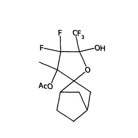 CC(=O)OC1(C)C2(CC3CCC2C3)OC(O)(C(F)(F)F)C1(F)F